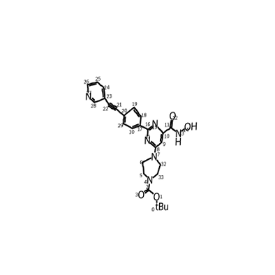 CC(C)(C)OC(=O)N1CCN(c2cc(C(=O)NO)nc(-c3ccc(C#Cc4cccnc4)cc3)n2)CC1